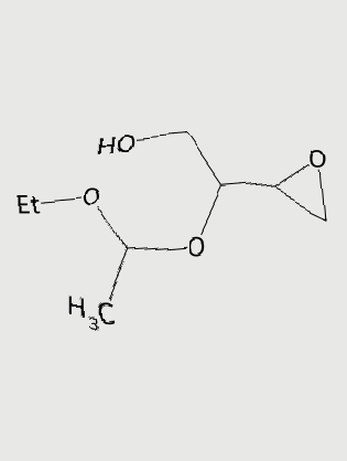 CCOC(C)OC(CO)C1CO1